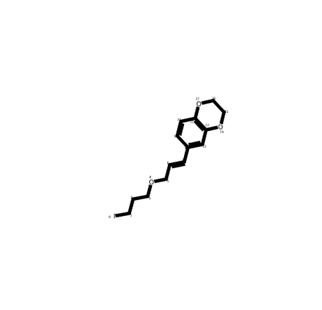 ICCCOC/C=C/c1ccc2c(c1)OCCO2